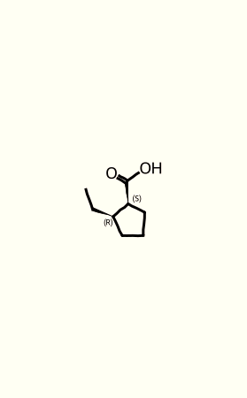 CC[C@@H]1CCC[C@@H]1C(=O)O